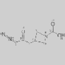 [N-]=[N+]=CC(=O)CC1CN(C(=O)O)C1